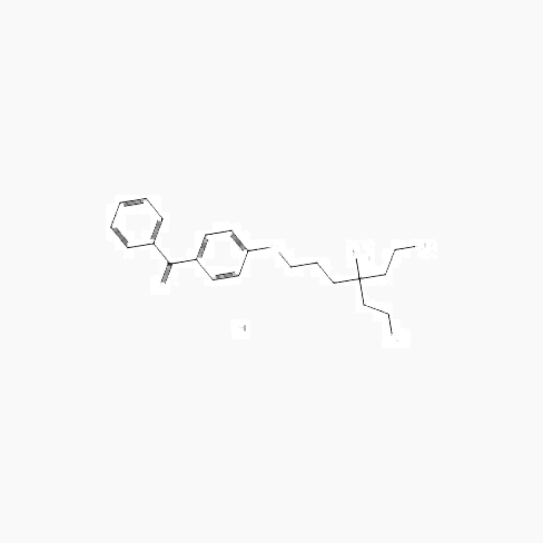 I.NC(CCO)(CCO)CCCOc1ccc(C(=O)c2ccccc2)cc1